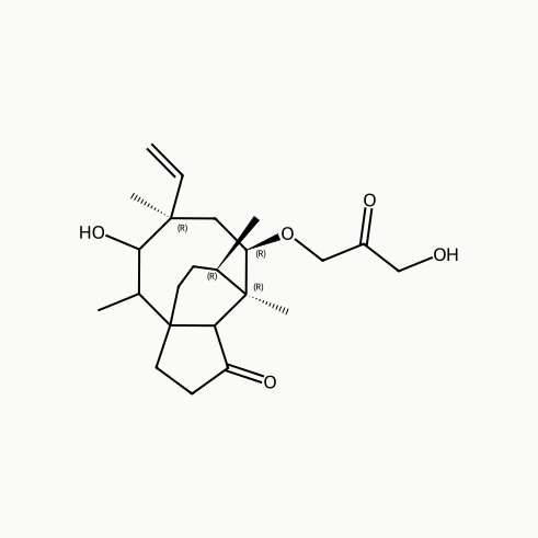 C=C[C@@]1(C)C[C@@H](OCC(=O)CO)[C@@]2(C)C3C(=O)CCC3(CC[C@H]2C)C(C)C1O